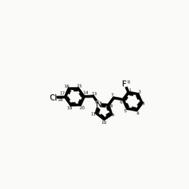 Fc1ccccc1Cc1cccn1Cc1ccc(Cl)cc1